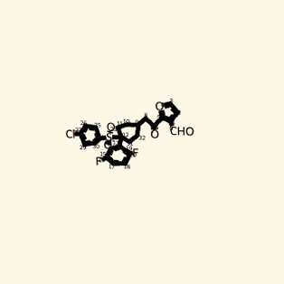 O=Cc1ccoc1C(=O)CC1CCC(c2cc(F)ccc2F)(S(=O)(=O)c2ccc(Cl)cc2)CC1